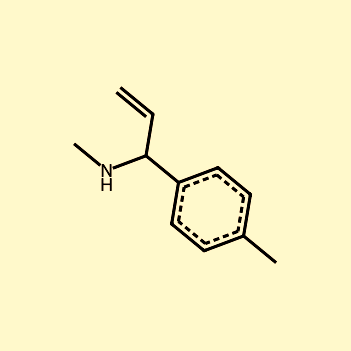 C=CC(NC)c1ccc(C)cc1